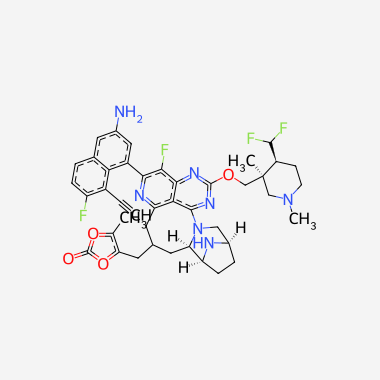 C#Cc1c(F)ccc2cc(N)cc(-c3nc4c5c(nc(OC[C@]6(C)CN(C)CC[C@@H]6C(F)F)nc5c3F)N3C[C@H]5CC[C@H](N5)[C@H]3CC(Cc3oc(=O)oc3C)C4)c12